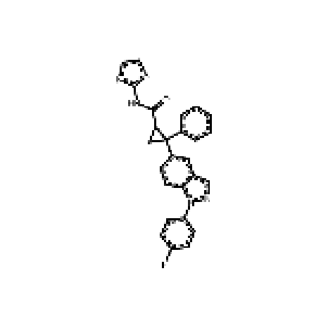 O=C(Nc1nccs1)C1CC1(c1ccccc1)c1ccc2c(cnn2-c2ccc(F)cc2)c1